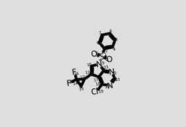 O=S(=O)(c1ccccc1)n1cc(C2CC2(F)F)c2c(Cl)ncnc21